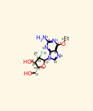 CCOc1nc(N)nc2c1ncn2C1O[C@H](CO)[C@@H](O)[C@@]1(C)F